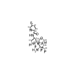 NC1=N[C@@]2(c3cc(NC(=O)c4ccc(F)cn4)cc(F)c3F)COC[C@H]2C[C@@]1(F)CF